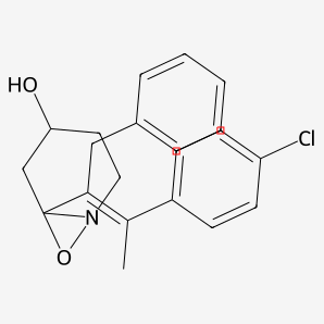 C/C(=C(/Cc1ccccc1)C12CC(O)CCN1O2)c1ccc(Cl)cc1